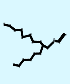 C=COCC(CCCCCC)CCCCCCCC